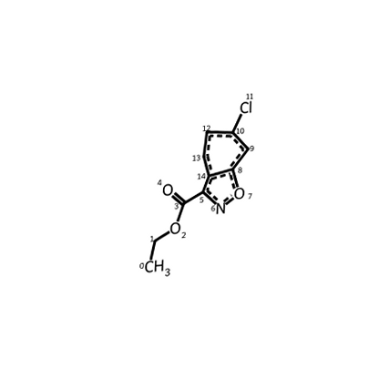 CCOC(=O)c1noc2cc(Cl)ccc12